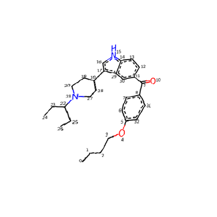 CCCCOc1ccc(C(=O)c2ccc3[nH]cc(C4CCN(C(CC)CC)CC4)c3c2)cc1